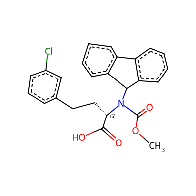 COC(=O)N(C1c2ccccc2-c2ccccc21)[C@@H](CCc1cccc(Cl)c1)C(=O)O